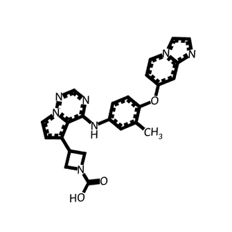 Cc1cc(Nc2ncnn3ccc(C4CN(C(=O)O)C4)c23)ccc1Oc1ccn2ccnc2c1